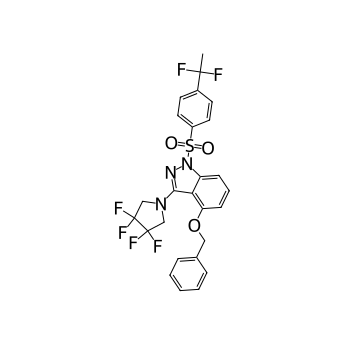 CC(F)(F)c1ccc(S(=O)(=O)n2nc(N3CC(F)(F)C(F)(F)C3)c3c(OCc4ccccc4)cccc32)cc1